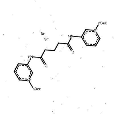 CCCCCCCCCC[n+]1cccc(NC(=O)CCCC(=O)Nc2ccc[n+](CCCCCCCCCC)c2)c1.[Br-].[Br-]